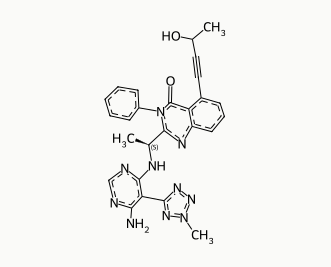 CC(O)C#Cc1cccc2nc([C@H](C)Nc3ncnc(N)c3-c3nnn(C)n3)n(-c3ccccc3)c(=O)c12